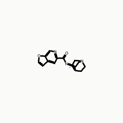 O=C(/N=C1\CN2CCC1CC2)c1cc2ccoc2cn1